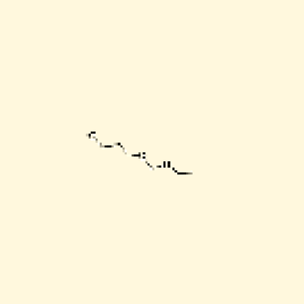 CCOCOCCC[O]